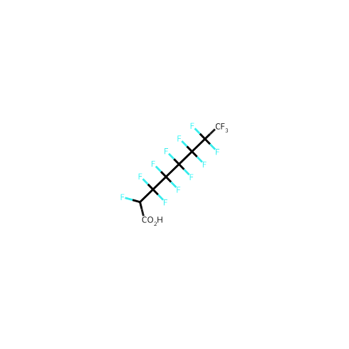 O=C(O)C(F)C(F)(F)C(F)(F)C(F)(F)C(F)(F)C(F)(F)C(F)(F)F